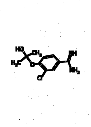 CC(C)(O)Oc1ccc(C(=N)N)cc1Cl